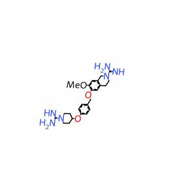 COc1cc2c(cc1OCc1ccc(OC3CCN(C(=N)N)CC3)cc1)CCN(C(=N)N)C2